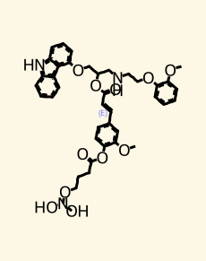 COc1ccccc1OCCNCC(COc1cccc2[nH]c3ccccc3c12)OC(=O)/C=C/c1ccc(OC(=O)CCCON(O)O)c(OC)c1